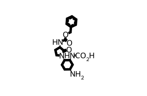 N[C@@H]1CC[C@H](N2CC[C@H](NC(=O)OCc3ccccc3)C2=O)[C@H](NC(=O)O)C1